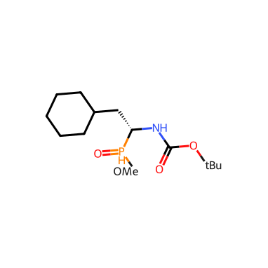 CO[PH](=O)[C@H](CC1CCCCC1)NC(=O)OC(C)(C)C